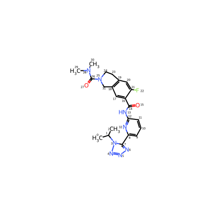 CC(C)n1nnnc1-c1cccc(NC(=O)c2cc3c(cc2F)CCN(C(=O)N(C)C)C3)n1